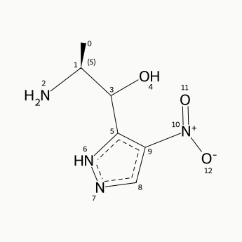 C[C@H](N)C(O)c1[nH]ncc1[N+](=O)[O-]